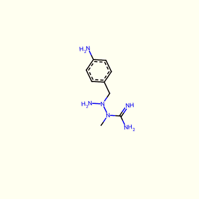 CN(C(=N)N)N(N)Cc1ccc(N)cc1